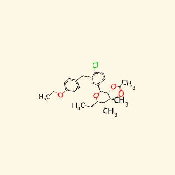 CCOc1ccc(Cc2cc([C@@H]3O[C@H](CC)[C@@H](C)[C@H](C)[C@H]3OC(C)=O)ccc2Cl)cc1